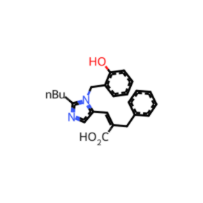 CCCCc1ncc(C=C(Cc2ccccc2)C(=O)O)n1Cc1ccccc1O